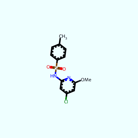 COc1cc(Cl)cc(NS(=O)(=O)c2ccc(C)cc2)n1